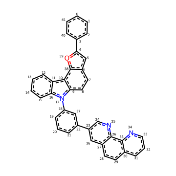 c1ccc(-c2cc3ccc4c(c5ccccc5n4-c4cccc(-c5cnc6c(ccc7cccnc76)c5)c4)c3o2)cc1